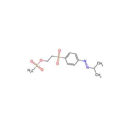 CC(C)/N=N/c1ccc(S(=O)(=O)CCOS(C)(=O)=O)cc1